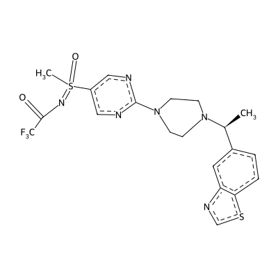 C[C@@H](c1ccc2scnc2c1)N1CCN(c2ncc(S(C)(=O)=NC(=O)C(F)(F)F)cn2)CC1